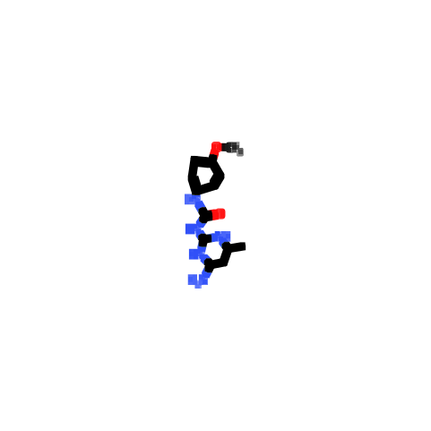 CC1CC(N)NC(NC(=O)Nc2ccc(OC(F)(F)F)cc2)N1